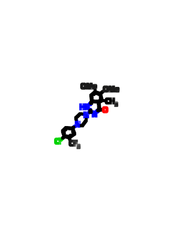 COc1cc2[nH]c(N3CCN(c4ccc(Cl)c(C(F)(F)F)c4)CC3)nc(=O)c2c(C)c1OC